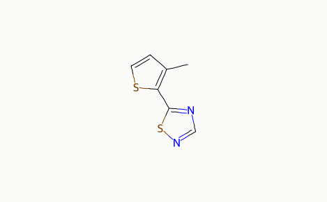 Cc1ccsc1-c1ncns1